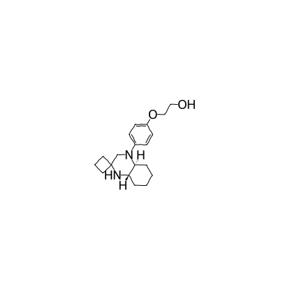 OCCOc1ccc(N2CC3(CCC3)N[C@H]3CCCC[C@@H]32)cc1